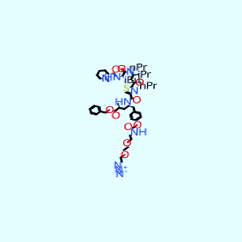 CCCO[C@H](C[C@H](C(C)C)N(CCC)C(=O)[C@@H](NC(=O)[C@H]1CCCCN1C)[C@@H](C)CC)c1nc(C(=O)N[C@@H](Cc2ccc(OC(=O)NCCOCCOCCN=[N+]=[N-])cc2)C[C@H](C)C(=O)OCc2ccccc2)cs1